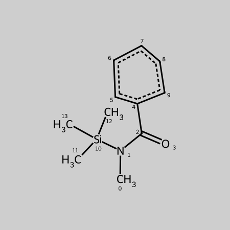 CN(C(=O)c1ccccc1)[Si](C)(C)C